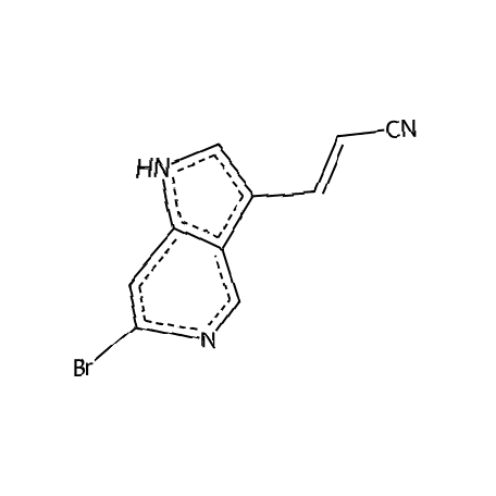 N#C/C=C/c1c[nH]c2cc(Br)ncc12